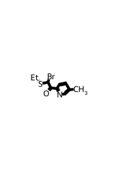 CCSC(Br)C(=O)c1ccc(C)cn1